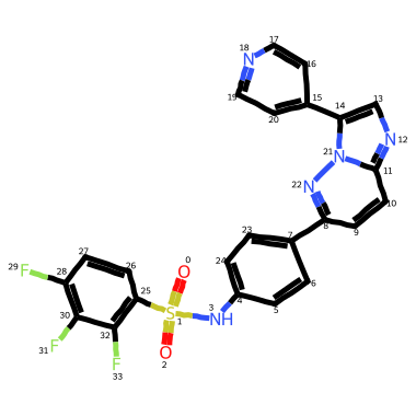 O=S(=O)(Nc1ccc(-c2ccc3ncc(-c4ccncc4)n3n2)cc1)c1ccc(F)c(F)c1F